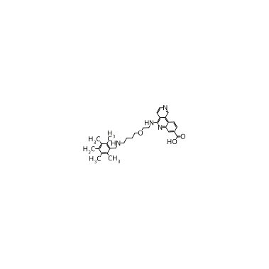 Cc1c(C)c(C)c(CNCCCCOCCNc2nc3cc(C(=O)O)ccc3c3cnccc23)c(C)c1C